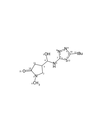 CN1CC(C(O)Nc2nnc(C(C)(C)C)s2)CC1=O